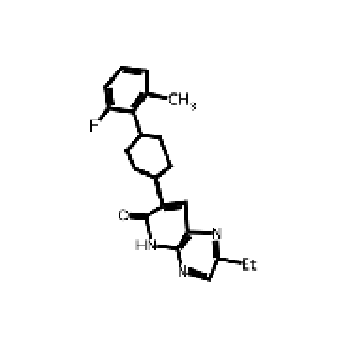 CCc1cnc2[nH]c(=O)c(C3CCC(c4c(C)cccc4F)CC3)cc2n1